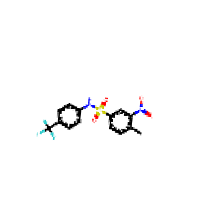 Cc1ccc(S(=O)(=O)Nc2ccc(C(F)(F)F)cc2)cc1[N+](=O)[O-]